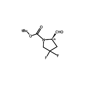 CC(C)(C)OC(=O)N1CC(F)(F)C[C@@H]1C=O